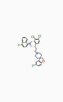 CN(C[C@@H](CCN1CCC2(CC1)COc1ccc(F)cc12)c1ccc(Cl)c(Cl)c1)c1ccc(F)c2ccccc12